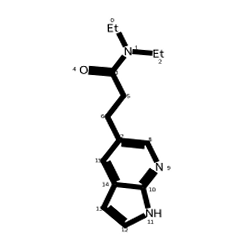 CCN(CC)C(=O)CCc1cnc2[nH]ccc2c1